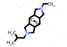 CCN1CC2C3CCC(C2C1)C1CN(CC(C)C)CC31